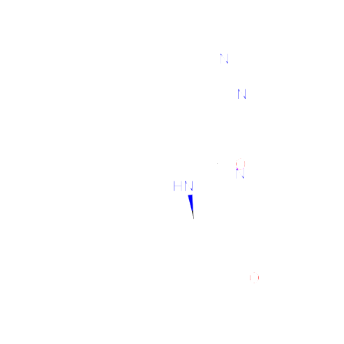 Cc1ccc([C@@]2(NC(=O)c3ccnn3C)CCOc3cccnc32)cc1